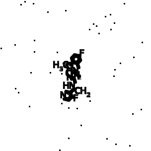 C=N/C(CNC(=C)c1cnccc1F)=N\NCc1cc(F)ccc1OC